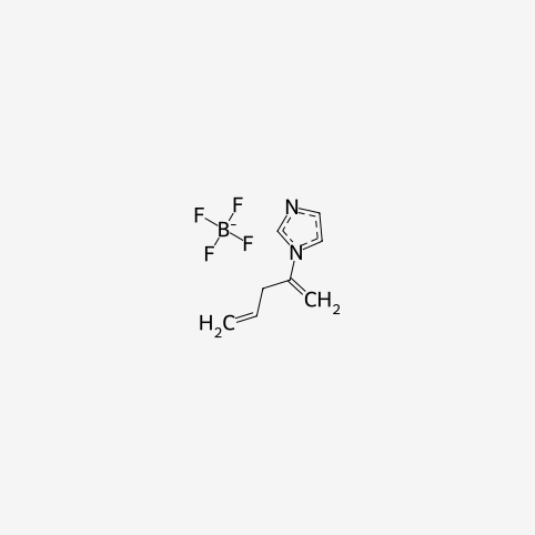 C=CCC(=C)n1ccnc1.F[B-](F)(F)F